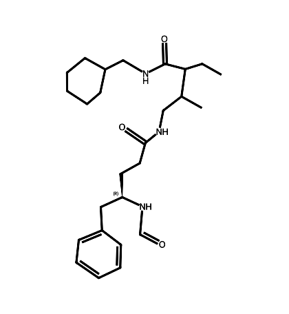 CCC(C(=O)NCC1CCCCC1)C(C)CNC(=O)CC[C@H](Cc1ccccc1)NC=O